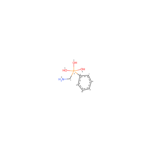 NCP(O)(O)(O)c1ccccc1